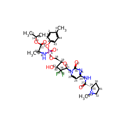 Cc1ccc(OP(=O)(N[C@@H](C)C(=O)OC(C)C)OC[C@H]2OC(n3ccc(NC(=O)[C@@H]4CCCN4C)nc3=O)C(F)(F)[C@@H]2O)cc1